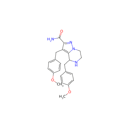 COc1ccc(Cc2c(C(N)=O)nn3c2C(Cc2ccc(OC)cc2)NCC3)cc1